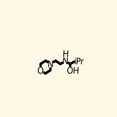 CC(C)C(O)NCCN1CCOCC1